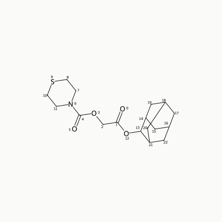 O=C(COC(=O)N1CCSCC1)OC1C2CC3CC(C2)CC1C3